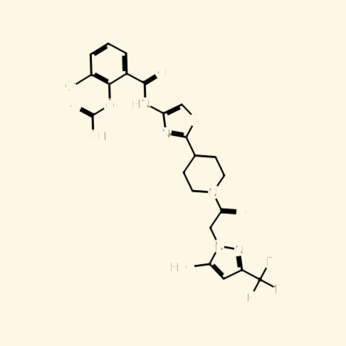 CC(=O)Oc1c(Cl)cccc1C(=O)Nc1csc(C2CCN(C(=O)Cn3nc(C(F)(F)F)cc3C)CC2)n1